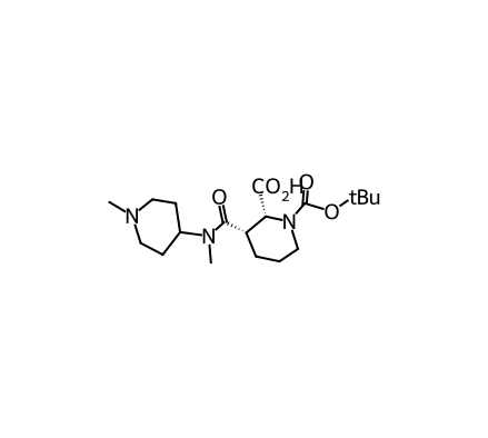 CN1CCC(N(C)C(=O)[C@H]2CCCN(C(=O)OC(C)(C)C)[C@H]2C(=O)O)CC1